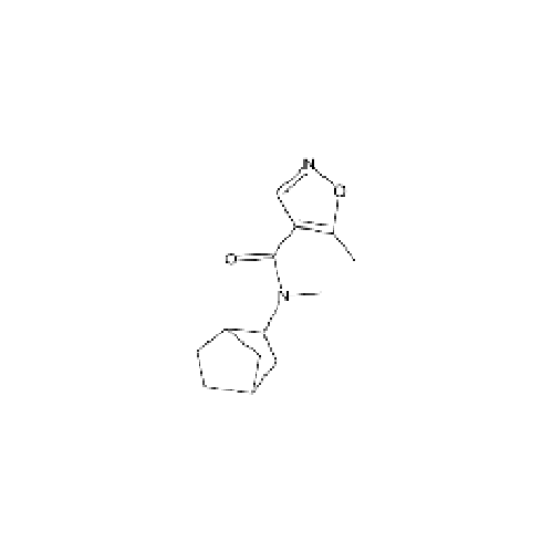 Cc1oncc1C(=O)N(C)C1CC2CCC1C2